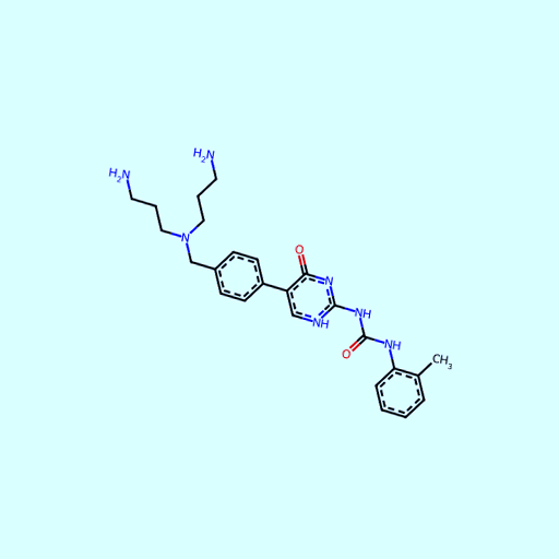 Cc1ccccc1NC(=O)Nc1nc(=O)c(-c2ccc(CN(CCCN)CCCN)cc2)c[nH]1